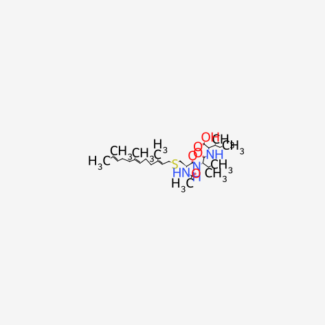 CC[C@@H](C)[C@@H](NC(=O)[C@@H](NC(=O)[C@H](CSC/C=C(\C)CC/C=C(\C)CCC=C(C)C)NC(C)=O)C(C)C)C(=O)O